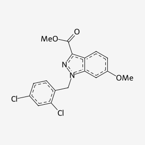 COC(=O)c1nn(Cc2ccc(Cl)cc2Cl)c2cc(OC)ccc12